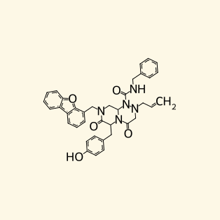 C=CCN1CC(=O)N2C(Cc3ccc(O)cc3)C(=O)N(Cc3cccc4c3oc3ccccc34)CC2N1C(=O)NCc1ccccc1